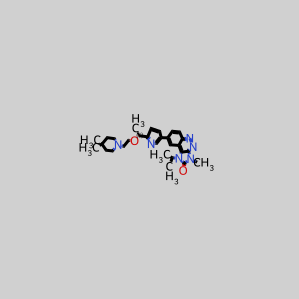 CC(C)n1c(=O)n(C)c2nnc3ccc(-c4ccc([C@H](C)OCCN5CCC(C)(C)CC5)nc4)cc3c21